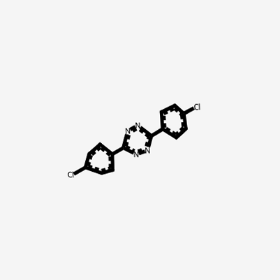 Clc1ccc(-c2nnc(-c3ccc(Cl)cc3)nn2)cc1